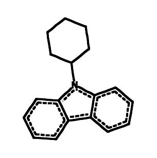 c1ccc2c(c1)c1ccccc1n2C1CCCCC1